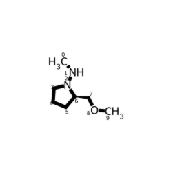 CNN1CCC[C@@H]1COC